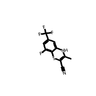 CC1=C(C#N)Sc2c(F)cc(C(F)(F)F)cc2N1